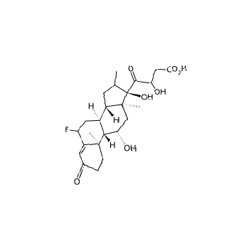 CC1C[C@H]2[C@@H]3CC(F)C4=CC(=O)CC[C@]4(C)[C@H]3[C@@H](O)C[C@]2(C)[C@@]1(O)C(=O)C(O)CC(=O)O